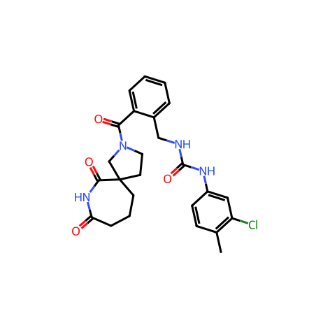 Cc1ccc(NC(=O)NCc2ccccc2C(=O)N2CCC3(CCCC(=O)NC3=O)C2)cc1Cl